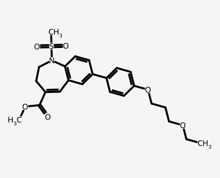 CCOCCCOc1ccc(-c2ccc3c(c2)C=C(C(=O)OC)CCN3S(C)(=O)=O)cc1